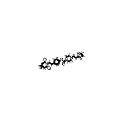 CC1(C)CC(=O)N(CCc2ccc(OC(=O)N3CCN(CCc4nccs4)CC3)cc2)C(=O)C1